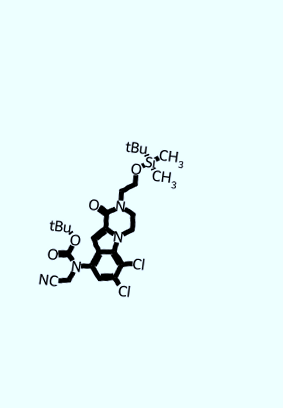 CC(C)(C)OC(=O)N(CC#N)c1cc(Cl)c(Cl)c2c1cc1n2CCN(CCO[Si](C)(C)C(C)(C)C)C1=O